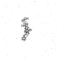 O=C(O)CCC(=O)Nc1ccc2c(=O)n3c(nc2c1)C(=Cc1ccccc1)CC3